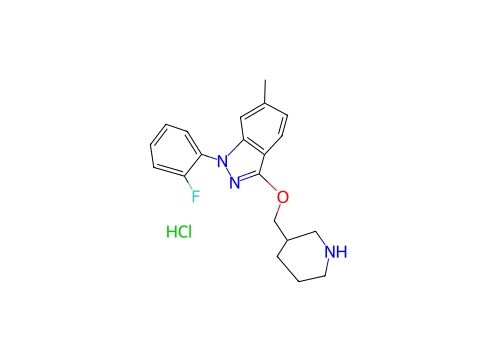 Cc1ccc2c(OCC3CCCNC3)nn(-c3ccccc3F)c2c1.Cl